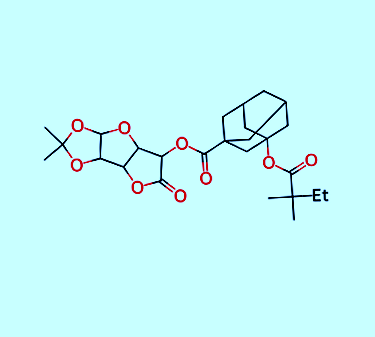 CCC(C)(C)C(=O)OC12CC3CC(C1)CC(C(=O)OC1C(=O)OC4C5OC(C)(C)OC5OC14)(C3)C2